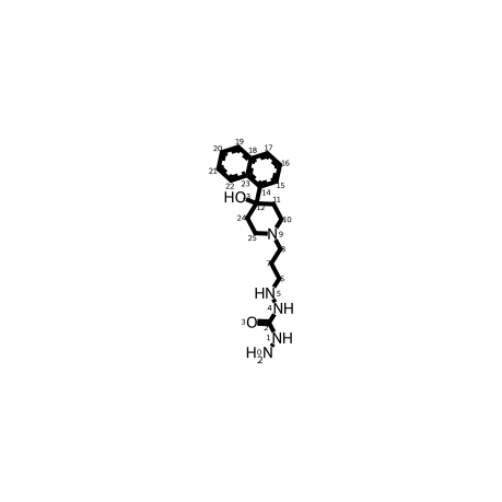 NNC(=O)NNCCCN1CCC(O)(c2cccc3ccccc23)CC1